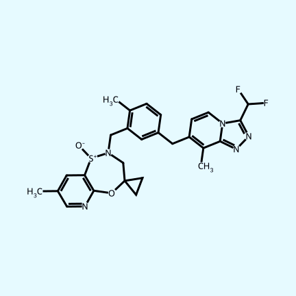 Cc1cnc2c(c1)[S+]([O-])N(Cc1cc(Cc3ccn4c(C(F)F)nnc4c3C)ccc1C)CC1(CC1)O2